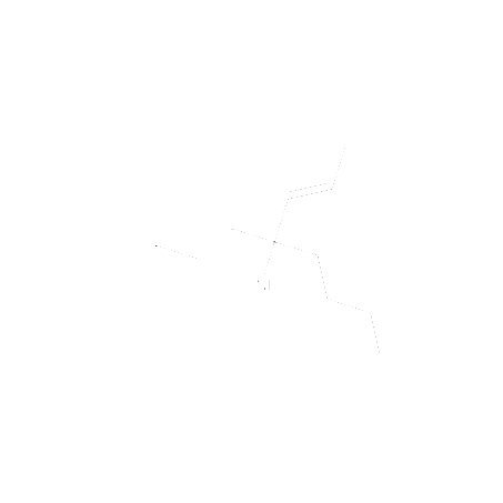 C/C=C/C(N)(CCCC)CCCC